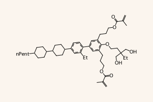 C=C(C)C(=O)OCCCc1cc(-c2ccc(C3CCC(C4CCC(CCCCC)CC4)CC3)cc2CC)cc(CCCOC(=O)C(=C)C)c1OCCC(CC)(CO)CO